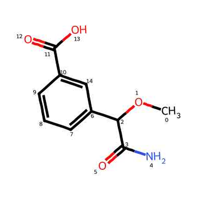 COC(C(N)=O)c1cccc(C(=O)O)c1